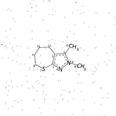 Cc1c2c(nn1C)SCCCC2